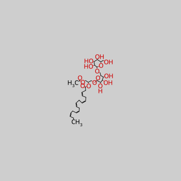 CC/C=C\C/C=C\C/C=C\C/C=C\C/C=C\CC(=O)OC(COC(C)=O)COC1OC(COC2OC(CO)C(O)C(O)C2O)C(O)C(O)C1O